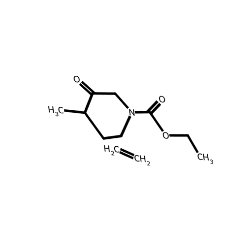 C=C.CCOC(=O)N1CCC(C)C(=O)C1